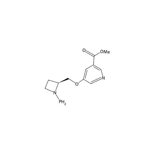 COC(=O)c1cncc(OC[C@@H]2CCN2P)c1